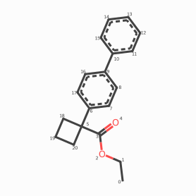 CCOC(=O)C1(c2ccc(-c3ccccc3)cc2)CCC1